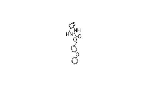 O=C(OCc1cccc(Oc2ccccc2)c1)C1NCc2ccsc2N1